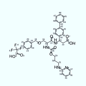 O=C(O)C(F)(F)F.O=C(O)CC(NC(=O)C(COCc1ccccc1)NC(=O)OCCCNc1ccccn1)c1ccc(-c2ccccc2)cc1